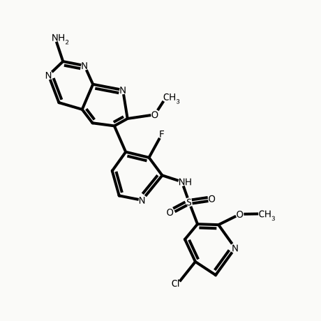 COc1nc2nc(N)ncc2cc1-c1ccnc(NS(=O)(=O)c2cc(Cl)cnc2OC)c1F